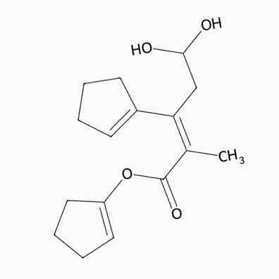 CC(C(=O)OC1=CCCC1)=C(CC(O)O)C1=CCCC1